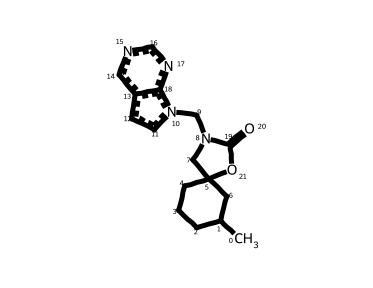 CC1CCCC2(C1)CN(Cn1ccc3cncnc31)C(=O)O2